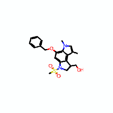 Cc1cn(C)c2c(OCc3ccccc3)cc3c(c12)C(CO)CN3S(C)(=O)=O